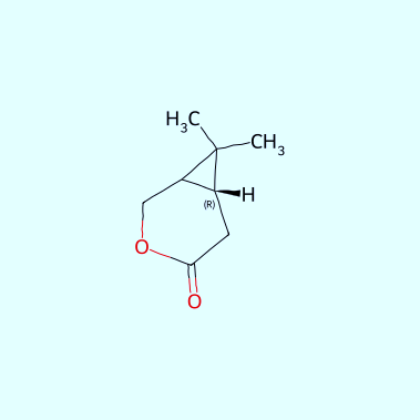 CC1(C)C2COC(=O)C[C@H]21